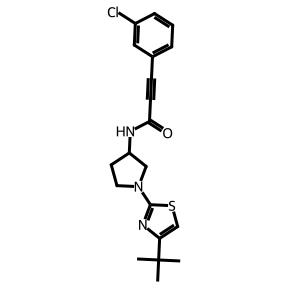 CC(C)(C)c1csc(N2CCC(NC(=O)C#Cc3cccc(Cl)c3)C2)n1